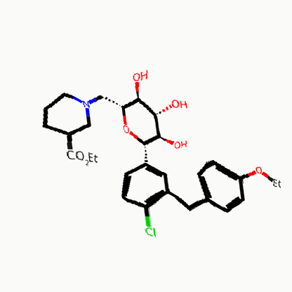 CCOC(=O)C1CCCN(C[C@H]2O[C@@H](c3ccc(Cl)c(Cc4ccc(OCC)cc4)c3)[C@H](O)[C@@H](O)[C@@H]2O)C1